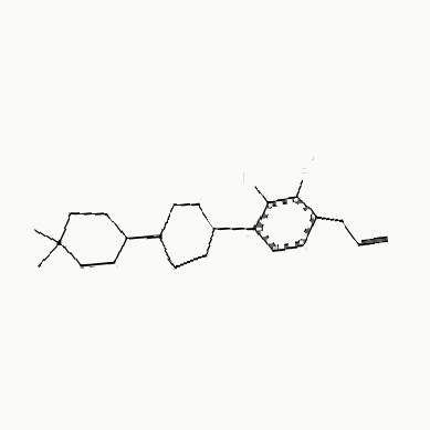 C=CCc1ccc(C2CCC(C3CCC(C)(C)CC3)CC2)c(F)c1F